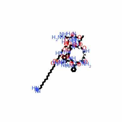 CCCC[C@H](NC(=O)[C@H](CN)NC(=O)[C@H](CCCNC(=N)N)NC(=O)COCCOCCNC(=O)CCCS(=O)(=O)NC(=O)CCCCCCCCCCCCCCCc1nnn[nH]1)C(=O)N[C@H]1CCC(=O)NCCCC[C@@H](C(N)=O)NC(=O)[C@H](Cc2c[nH]c3ccccc23)NC(=O)[C@H](CCCNC(=N)N)NC(=O)[C@@H](Cc2ccccc2)NC(=O)[C@@H]2C[C@@H](O)CN2C1=O